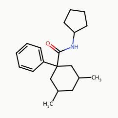 CC1CC(C)CC(C(=O)NC2CCCC2)(c2ccccc2)C1